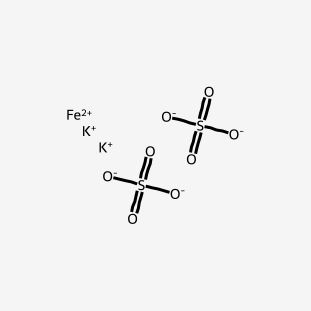 O=S(=O)([O-])[O-].O=S(=O)([O-])[O-].[Fe+2].[K+].[K+]